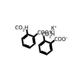 O=C([O-])c1ccccc1C(=O)O.O=C([O-])c1ccccc1C(=O)O.[K+].[K+]